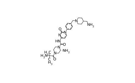 CC(C)(N)C(=O)N1CCN(C(=O)Nc2ccn(-c3ccc(CN4CCC(CN)CC4)cc3)c(=O)n2)[C@H](N)C1